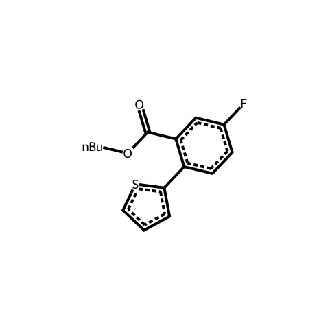 CCCCOC(=O)c1cc(F)ccc1-c1cccs1